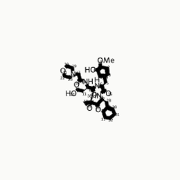 COc1ccc(C[C@H](NC(=O)[C@H](CCO)NC(=O)CN2CCOCC2)C(=O)N[C@@H](CC2=CCCCC2)C(=O)[C@@]2(C)CO2)cc1O